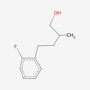 CC(CO)CCc1ccccc1F